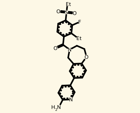 CCc1c(C(=O)N2CCOc3ccc(-c4ccc(N)nc4)cc3C2)ccc(S(=O)(=O)CC)c1F